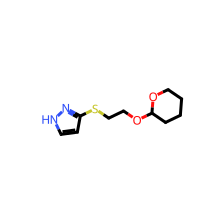 c1cc(SCCOC2CCCCO2)n[nH]1